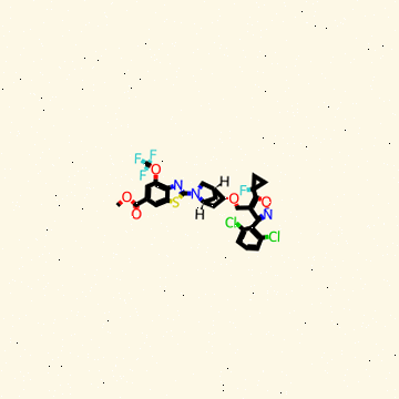 COC(=O)c1cc(OC(F)(F)F)c2nc(N3C[C@@H]4C[C@H]3C[C@H]4OCc3c(-c4c(Cl)cccc4Cl)noc3C3(F)CC3)sc2c1